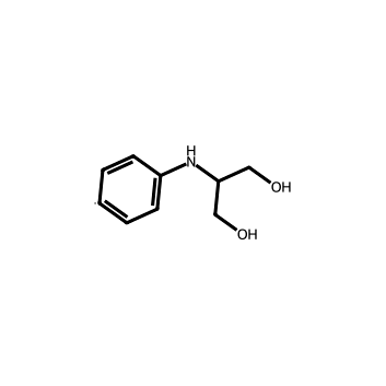 OCC(CO)Nc1cc[c]cc1